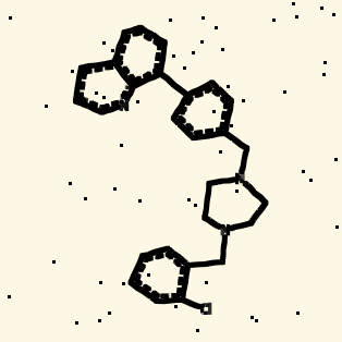 Clc1ccccc1CN1CCN(Cc2ccc(-c3cccc4cccnc34)cc2)CC1